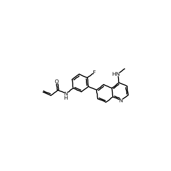 C=CC(=O)Nc1ccc(F)c(-c2ccc3nccc(NC)c3c2)c1